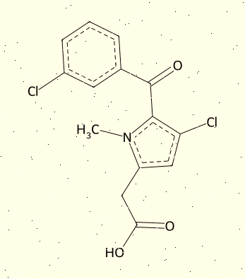 Cn1c(CC(=O)O)cc(Cl)c1C(=O)c1cccc(Cl)c1